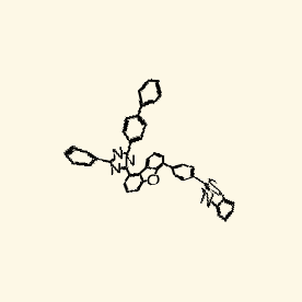 c1ccc(-c2ccc(-c3nc(-c4ccccc4)nc(-c4cccc5oc6c(-c7ccc(-c8nc9ccccc9s8)cc7)cccc6c45)n3)cc2)cc1